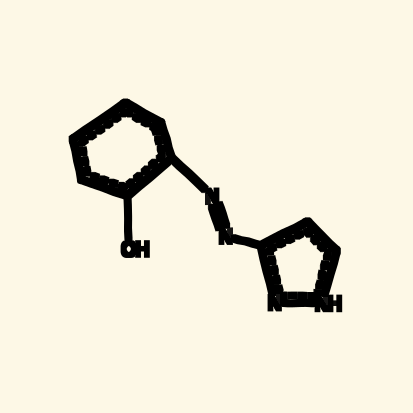 Oc1ccccc1/N=N/c1cc[nH]n1